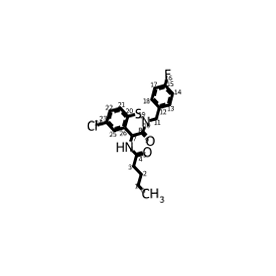 CCCCC(=O)NC1C(=O)N(Cc2ccc(F)cc2)Sc2ccc(Cl)cc21